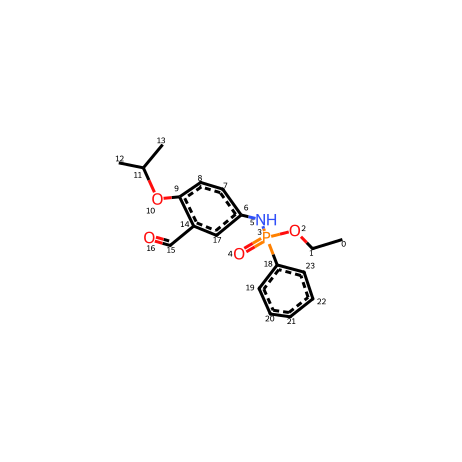 CCOP(=O)(Nc1ccc(OC(C)C)c(C=O)c1)c1ccccc1